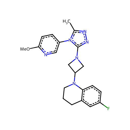 COc1ccc(-n2c(C)nnc2N2CC(N3CCCc4cc(F)ccc43)C2)cn1